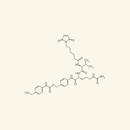 CC(C)[C@H](NC(=O)CCCCCN1C(=O)C=CC1=O)C(=O)N[C@@H](CCCNC(N)=O)C(=O)Nc1ccc(COC(=O)Nc2ccc(CO)cc2)cc1